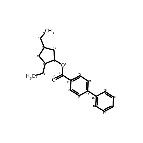 CCC1CC(CC)C(OC(=O)c2ccc(-c3ccccc3)cc2)C1